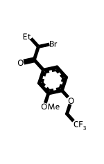 CCC(Br)C(=O)c1ccc(OCC(F)(F)F)c(OC)c1